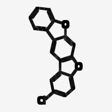 Clc1ccc2oc3cc4oc5ccccc5c4cc3c2c1